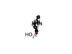 Cc1noc(-c2ccc(C34CCC(CC(=O)O)(CC3)OC4)c(F)c2)c1NC(=O)OCCc1ccccc1